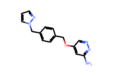 Nc1cc(OCc2ccc(Cn3cccn3)cc2)cnn1